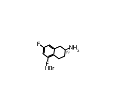 Br.N[C@H]1CCc2c(F)cc(F)cc2C1